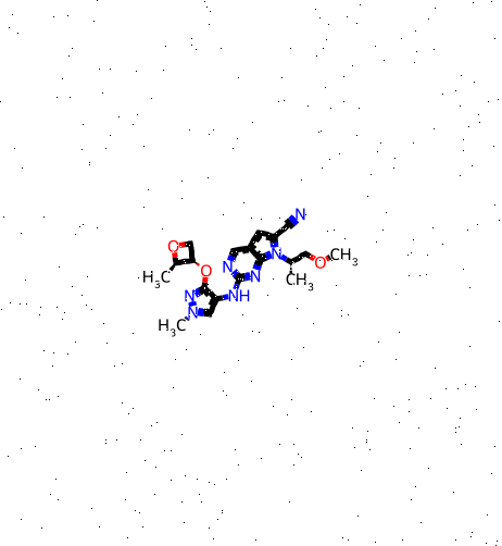 COC[C@H](C)n1c(C#N)cc2cnc(Nc3cn(C)nc3O[C@H]3CO[C@@H]3C)nc21